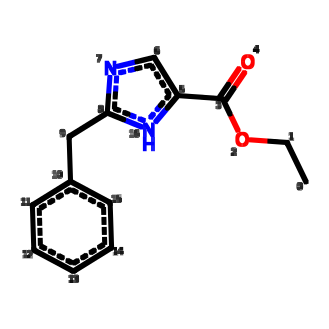 CCOC(=O)c1cnc(Cc2ccccc2)[nH]1